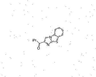 CC(C)C(=O)c1cn2c(n1)sc1ccccc12